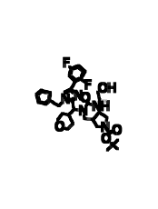 C[C@@H](CO)NC(=O)N(CC1CCN(C(=O)OC(C)(C)C)C1)C(c1nc(-c2cc(F)ccc2F)cn1Cc1ccccc1)C1CCOCC1